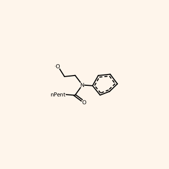 CCCCCC(=O)N(CC[O])c1ccccc1